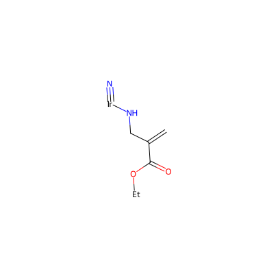 C=C(C[NH][Ir]#[N])C(=O)OCC